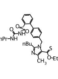 CCCCc1nc(C)c(C(=S)OCC)n1Cc1ccc(-c2ccccc2S(=O)(=O)NC(=O)NCCC)cc1